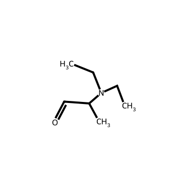 CCN(CC)C(C)C=O